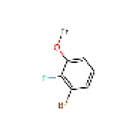 CCOc1cccc(Br)c1F